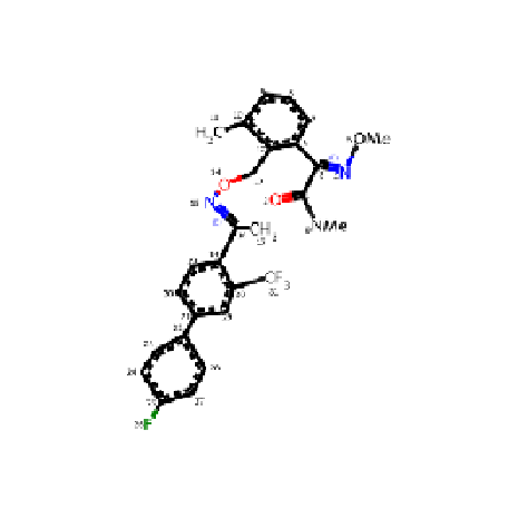 CNC(=O)/C(=N/OC)c1cccc(C)c1CO/N=C(\C)c1ccc(-c2ccc(F)cc2)cc1C(F)(F)F